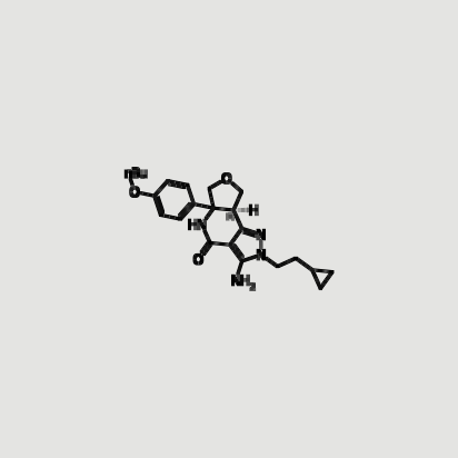 CCCCOc1ccc(C23COC[C@H]2c2nn(CCC4CC4)c(N)c2C(=O)N3)cc1